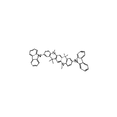 CN1c2ccc(-n3c4ccccc4c4ccccc43)cc2C(C)(C)c2cc3c(cc21)C(C)(C)c1cc(-n2c4ccccc4c4ccccc42)ccc1N3C